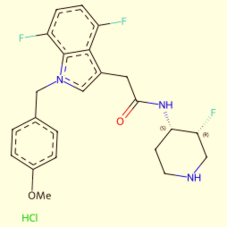 COc1ccc(Cn2cc(CC(=O)N[C@H]3CCNC[C@H]3F)c3c(F)ccc(F)c32)cc1.Cl